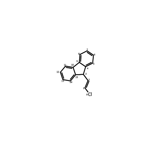 ClC=CC1c2ccccc2-c2ccccc21